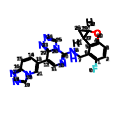 Fc1ccc2c(c1CNc1ncc(-c3ccc4nncn4c3)c3nncn13)[C@H]1C[C@H]1O2